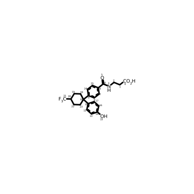 O=C(O)CCNC(=O)c1ccc(C2(c3ccc(O)cc3)CCC(C(F)(F)F)CC2)cc1